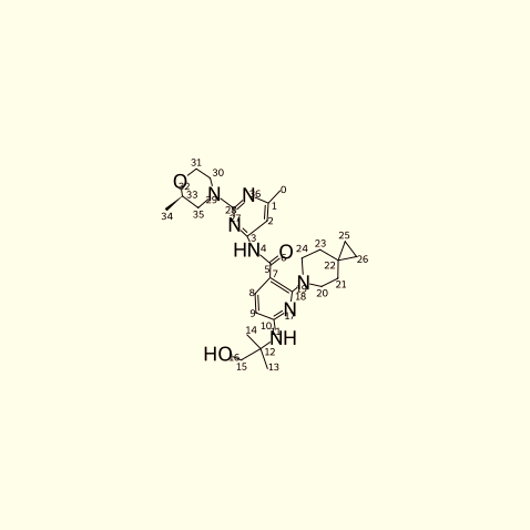 Cc1cc(NC(=O)c2ccc(NC(C)(C)CO)nc2N2CCC3(CC2)CC3)nc(N2CCO[C@H](C)C2)n1